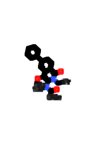 CCCCOc1c(N(C(=O)OC)C(C)(C)C)n(CC(C)C)c(=O)c2ccc(-c3ccccc3)cc12